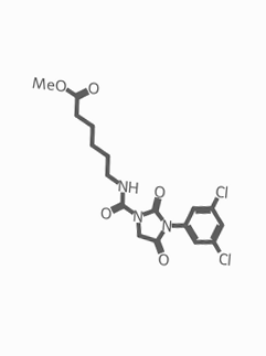 COC(=O)CCCCCNC(=O)N1CC(=O)N(c2cc(Cl)cc(Cl)c2)C1=O